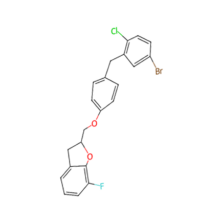 Fc1cccc2c1OC(COc1ccc(Cc3cc(Br)ccc3Cl)cc1)C2